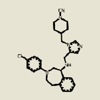 N#CN1CCC(Cn2cncc2CNC2CN(c3ccc(Cl)cc3)CCc3ccccc32)CC1